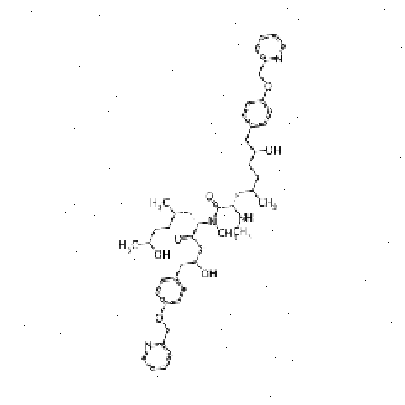 CN[C@@H](CC(C)CCC(O)Cc1ccc(OCc2ccccn2)cc1)C(=O)N(C)[C@@H](CC(C)CCC(C)O)C(=O)[CH]C(O)Cc1ccc(OCc2ccccn2)cc1